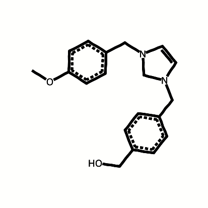 COc1ccc(CN2C=CN(Cc3ccc(CO)cc3)C2)cc1